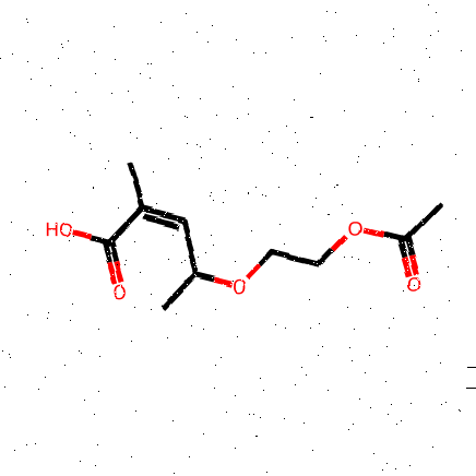 CC(=O)OCCOC(C)C=C(C)C(=O)O